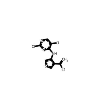 C=C(CC)c1cscc1Nc1nc(Cl)ncc1Cl